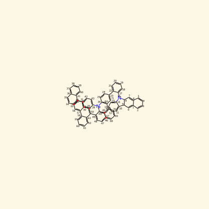 C1=c2ccccc2=CC2C1c1ccccc1N2c1ccccc1-c1ccc(N(c2ccc(-c3cccc4ccccc34)cc2)c2ccccc2-c2cc3ccccc3c3ccccc23)c(-c2ccccc2)c1